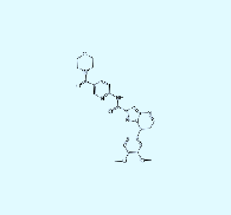 COc1ccc(-c2ccnc3cc(C(=O)Nc4ccc(C(=O)N5CCOCC5)cn4)nn23)cc1OC